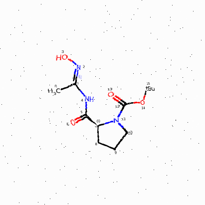 C/C(=N\O)NC(=O)[C@@H]1CCCN1C(=O)OC(C)(C)C